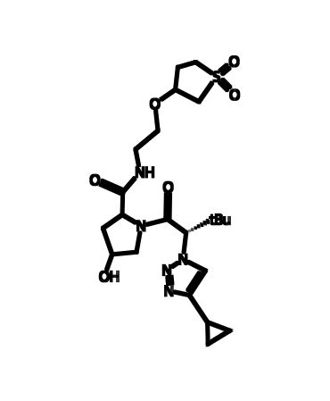 CC(C)(C)[C@@H](C(=O)N1CC(O)CC1C(=O)NCCOC1CCS(=O)(=O)C1)n1cc(C2CC2)nn1